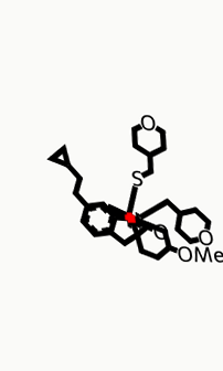 COC1CCC2(CC1)Cc1ccc(CCC3CC3)cc1C21N=C(SCC2CCOCC2)N(CC2CCOCC2)C1=O